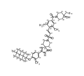 [2H]C([2H])([2H])C([2H])([2H])C([2H])([2H])C([2H])([2H])Oc1ccc(C2=NC3(CCN(S(=O)(=O)/C=C/c4c(C)cc(C(=O)N5CCC(O)(CF)CC5)cc4C)CC3)C(=O)N2)cc1C(F)(F)F